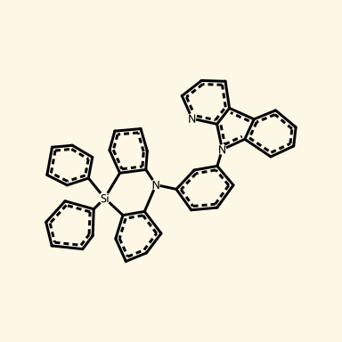 c1ccc([Si]2(c3ccccc3)c3ccccc3N(c3cccc(-n4c5ccccc5c5cccnc54)c3)c3ccccc32)cc1